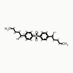 CCCCC(F)c1ccc(S(=O)(=O)c2ccc(C(F)CCCC)cc2)cc1